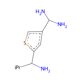 CC(C)C(N)c1cc(C(N)N)cs1